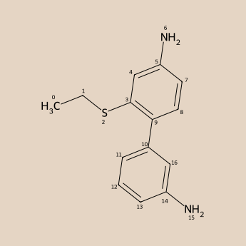 CCSc1cc(N)ccc1-c1cccc(N)c1